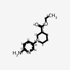 CCOC(=O)C1CCCN(c2ccc(N)nc2)C1